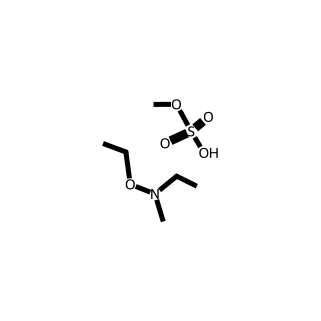 CCON(C)CC.COS(=O)(=O)O